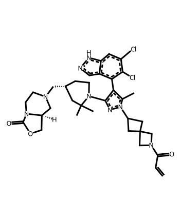 C=CC(=O)N1CC2(CC(n3nc(N4CC[C@@H](CN5CCN6C(=O)OC[C@@H]6C5)CC4(C)C)c(-c4c(Cl)c(Cl)cc5[nH]ncc45)c3C)C2)C1